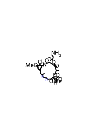 COc1cc2cc(c1Cl)N(C)C(=O)CC(OC(=O)CCN)C1(C)OC1C(C)C1CC(O)(NC(=O)O1)C(OC)/C=C/C=C(\C)C2